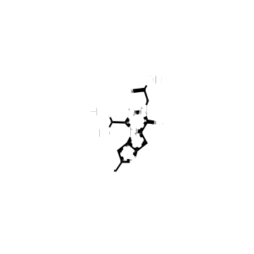 CC(O)c1nn(CC(=O)O)c(=O)c2cc3sc(Cl)cc3n12